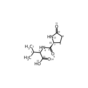 CC(C)C(NC(=O)[C@@H]1CCC(=O)N1)C(=O)O